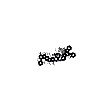 CCCCCCCC1(CCCCCCC)c2cc(C/C(=C/c3ccc4c(c3)C(C)(C)c3cc5c(cc3-4)C(C)(C)c3ccc4oc6ccccc6c4c3-5)C3=CC=C=CC=C3)ccc2-c2c1c1c(c3c2oc2ccccc23)-c2ccccc2C1(CCCCCCC)CCCCCCC